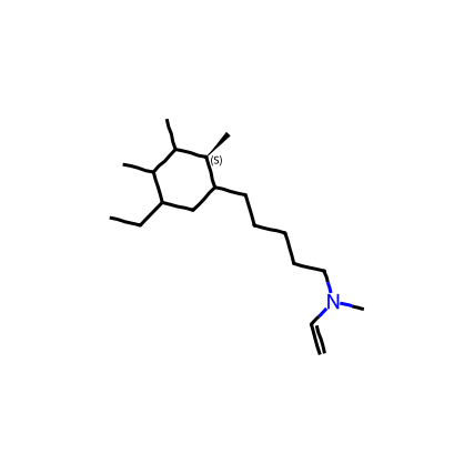 C=CN(C)CCCCCC1CC(CC)C(C)C(C)[C@H]1C